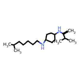 C=C(NC1CCC(NCCCCCC(C)C)CC1)C(C)C